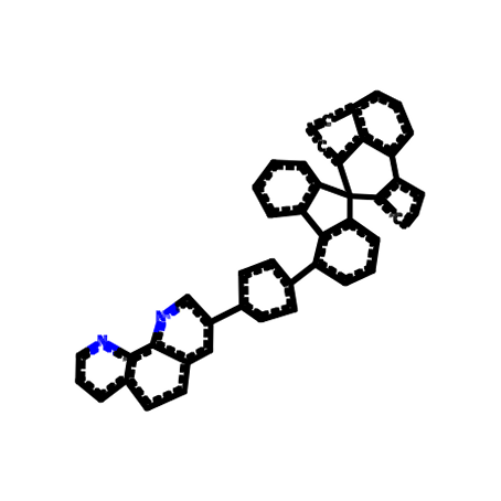 c1ccc2c(c1)-c1c(-c3ccc(-c4cnc5c(ccc6cccnc65)c4)cc3)cccc1C21c2ccccc2-c2cccc3cccc1c23